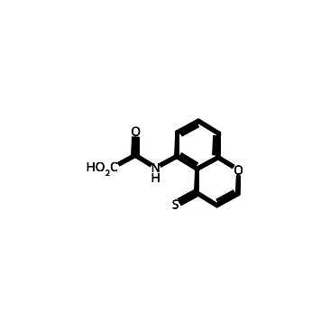 O=C(O)C(=O)Nc1cccc2occc(=S)c12